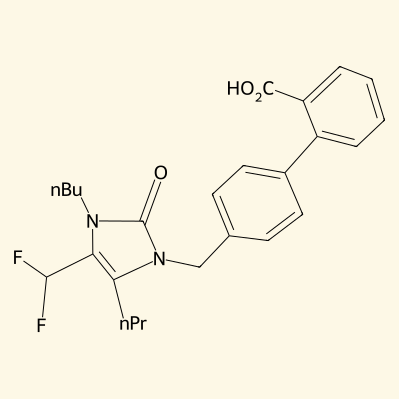 CCCCn1c(C(F)F)c(CCC)n(Cc2ccc(-c3ccccc3C(=O)O)cc2)c1=O